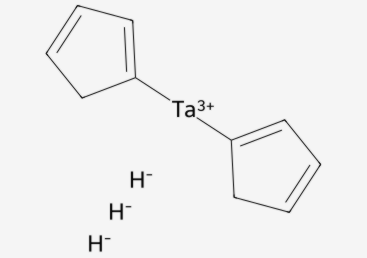 C1=CC[C]([Ta+3][C]2=CC=CC2)=C1.[H-].[H-].[H-]